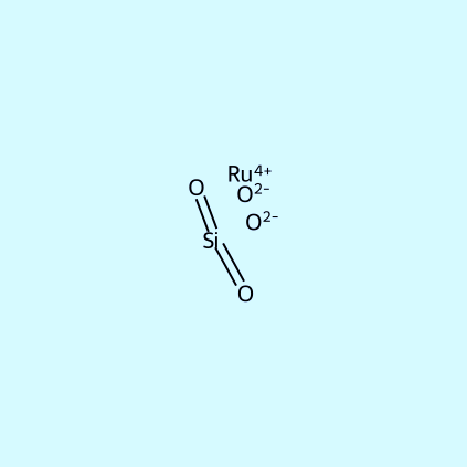 O=[Si]=O.[O-2].[O-2].[Ru+4]